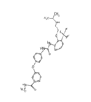 CNC(=O)c1cc(Oc2ccc(NC(=O)Nc3cccc(C(F)(F)F)c3OCCNC(C)C)cc2)ccn1